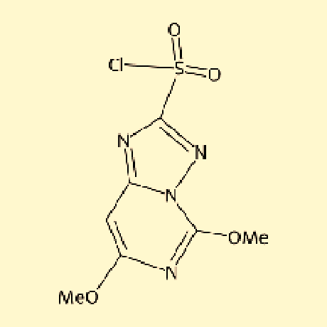 COc1cc2nc(S(=O)(=O)Cl)nn2c(OC)n1